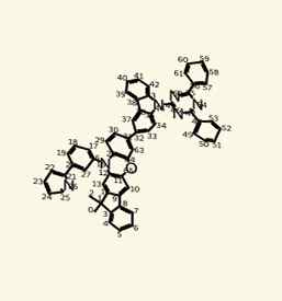 CC1(C)c2ccccc2-c2cc3c(cc21)N(c1cccc(-c2ccccn2)c1)c1ccc(-c2ccc4c(c2)c2ccccc2n4-c2nc(-c4ccccc4)nc(-c4ccccc4)n2)cc1O3